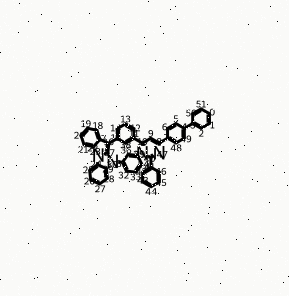 c1ccc(-c2ccc(-c3cc(-c4cccc(-c5c6ccccc6n6c7ccccc7n(-c7ccccc7)c56)c4)nc(-c4ccccc4)n3)cc2)cc1